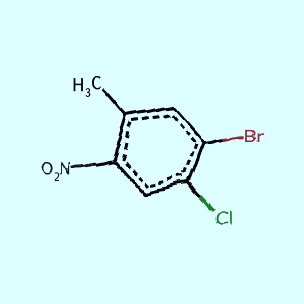 Cc1cc(Br)c(Cl)cc1[N+](=O)[O-]